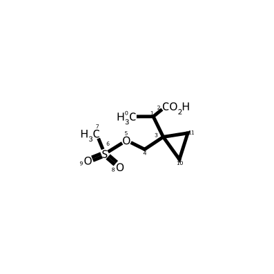 CC(C(=O)O)C1(COS(C)(=O)=O)CC1